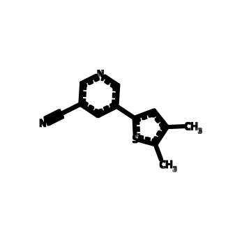 Cc1cc(-c2cncc(C#N)c2)sc1C